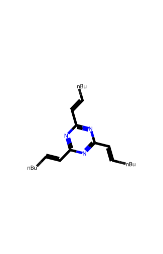 CCCCC=Cc1nc(C=CCCCC)nc(C=CCCCC)n1